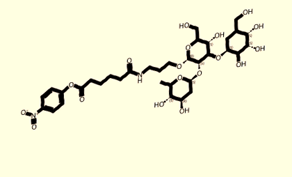 CC1O[C@@H](O[C@H]2C(O[C@H]3CC(CO)[C@H](O)[C@H](O)C3O)[C@@H](O)C(CO)O[C@H]2OCCCNC(=O)CCCCC(=O)Oc2ccc([N+](=O)[O-])cc2)C[C@@H](O)[C@@H]1O